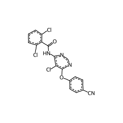 N#Cc1ccc(Oc2ncnc(NC(=O)c3c(Cl)cccc3Cl)c2Cl)cc1